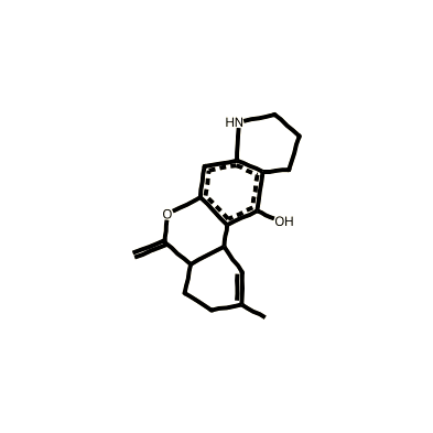 C=C1Oc2cc3c(c(O)c2C2C=C(C)CCC12)CCCN3